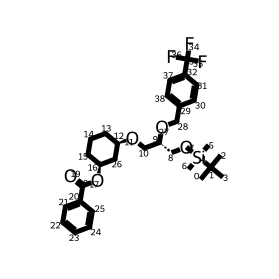 CC(C)(C)[Si](C)(C)OC[C@H](CO[C@@H]1CCC[C@H](OC(=O)c2ccccc2)C1)OCc1ccc(C(F)(F)F)cc1